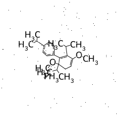 COC1=CCC(OC)(C(C)C)C(c2ccc(C(C)C)cc2)=C1C(C)C.P